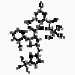 Cc1cc(Cl)cc(C(=O)NC(C)(C)C)c1NC(=O)c1cc(Cn2nnc(C(F)(F)F)n2)nn1-c1ncccc1Cl